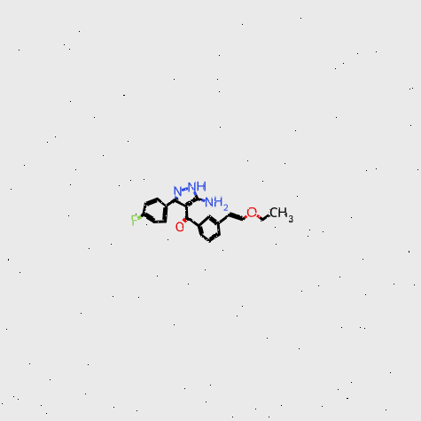 CCOC=Cc1cccc(C(=O)c2c(-c3ccc(F)cc3)n[nH]c2N)c1